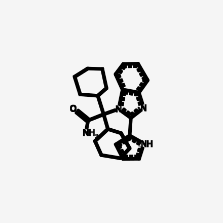 NC(=O)C(C1CCCCC1)(C1CCCCC1)n1c(-c2ccc[nH]2)nc2ccccc21